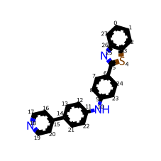 c1ccc2sc(-c3ccc(Nc4ccc(-c5ccncc5)cc4)cc3)nc2c1